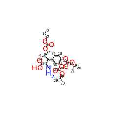 CCCOC(=O)OCC(C)C(c1ccc(OC(=O)OC(C)C)c(OC(=O)OC(C)C)c1)[C@H](N)C(=O)O